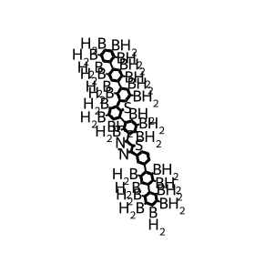 Bc1c(B)c(B)c(-c2c(B)c(B)c(-c3ccc4sc5c(-c6c(B)c(B)c(B)c(-c7c(B)c(B)c(B)c8c7sc7c(B)c(B)c(-c9c(B)c(B)c(-c%10c(B)c(B)c(B)c(B)c%10B)c(B)c9B)c(B)c78)c6B)ncnc5c4c3)c(B)c2B)c(B)c1B